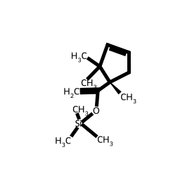 C=C(O[Si](C)(C)C)[C@@]1(C)CC=CC1(C)C